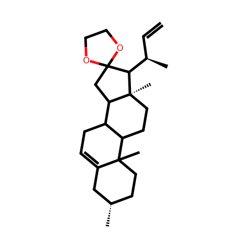 C=C[C@@H](C)C1C2(CC3C4CC=C5C[C@@H](C)CCC5(C)C4CC[C@@]31C)OCCO2